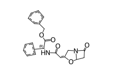 O=C(C=C1CN2C(=O)CC2O1)N[C@@H](C(=O)OCc1ccccc1)c1ccccc1